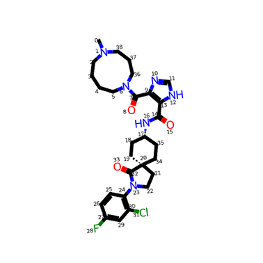 CN1CCCCN(C(=O)c2nc[nH]c2C(=O)N[C@H]2CC[C@@]3(CCN(c4ccc(F)cc4Cl)C3=O)CC2)CCC1